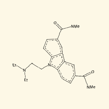 CCN(CC)CCn1c2ccc(C(=O)NC)cc2c2cc(C(=O)NC)ccc21